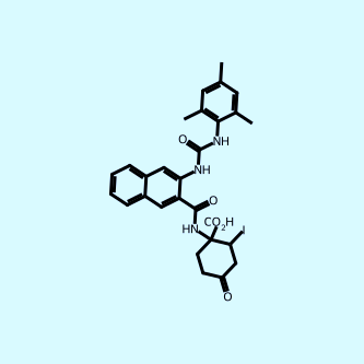 Cc1cc(C)c(NC(=O)Nc2cc3ccccc3cc2C(=O)NC2(C(=O)O)CCC(=O)CC2I)c(C)c1